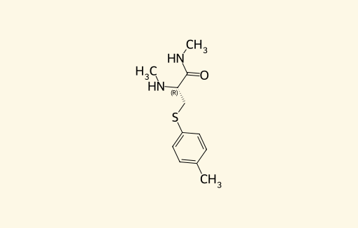 CNC(=O)[C@H](CSc1ccc(C)cc1)NC